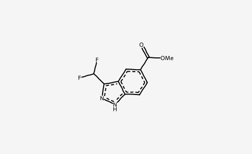 COC(=O)c1ccc2[nH]nc(C(F)F)c2c1